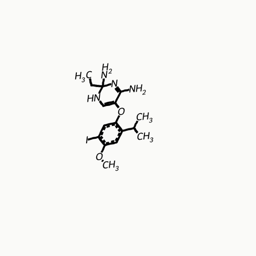 CCC1(N)N=C(N)C(Oc2cc(I)c(OC)cc2C(C)C)=CN1